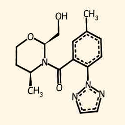 Cc1ccc(-n2nccn2)c(C(=O)N2[C@H](CO)OCC[C@@H]2C)c1